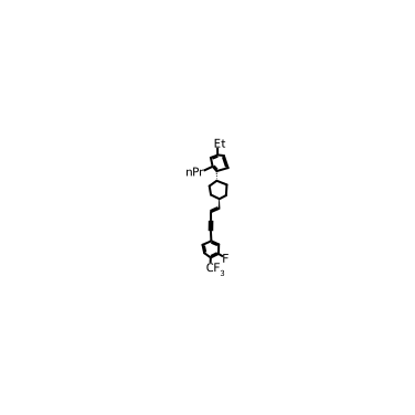 CCCc1cc(CC)ccc1[C@H]1CC[C@H](C=CC#Cc2ccc(C(F)(F)F)c(F)c2)CC1